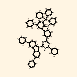 c1ccc(-c2ccc3c(c2)c2cc(-c4ccccc4)ccc2n3-c2nc(-c3ccccc3)nc(-c3ccc4c(c3)c3cc(-c5ccccc5)cc5c3n4-c3ccccc3C5(c3ccccc3)c3ccccc3)n2)cc1